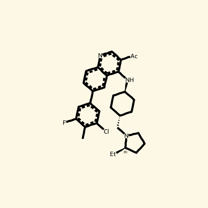 CC[C@@H]1CCCN1C[C@H]1CC[C@H](Nc2c(C(C)=O)cnc3ccc(-c4cc(F)c(C)c(Cl)c4)cc23)CC1